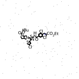 CCOC(=O)/C(C)=C/c1c(Cl)cc(C(=O)Nc2nc(-c3cc(Cl)cs3)c(N3CC4CCN(C(=O)OC(C)(C)C)C4C3)s2)cc1Cl